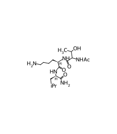 CC(=O)NC(C(=O)N[C@H](CCCCN)C(=O)N[C@H](CC(C)C)C(N)=O)C(C)O